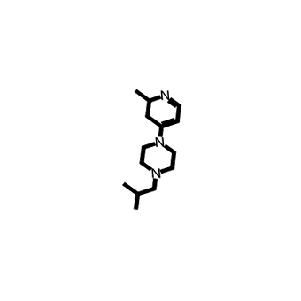 CC(C)CN1CCN(C2=CC=NC(C)C2)CC1